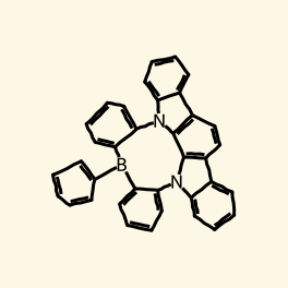 c1ccc(B2c3ccccc3-n3c4ccccc4c4ccc5c6ccccc6n(c5c43)-c3ccccc32)cc1